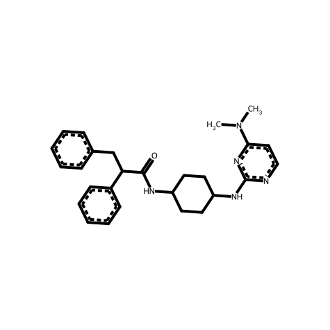 CN(C)c1ccnc(NC2CCC(NC(=O)C(Cc3ccccc3)c3ccccc3)CC2)n1